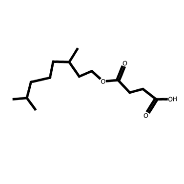 CC(C)CCCC(C)CCOC(=O)CCC(=O)O